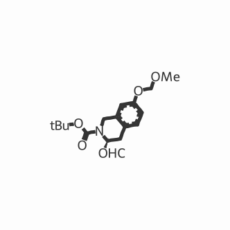 COCOc1ccc2c(c1)CN(C(=O)OC(C)(C)C)[C@H](C=O)C2